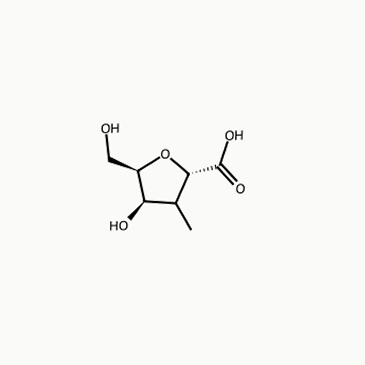 CC1[C@@H](C(=O)O)O[C@H](CO)[C@@H]1O